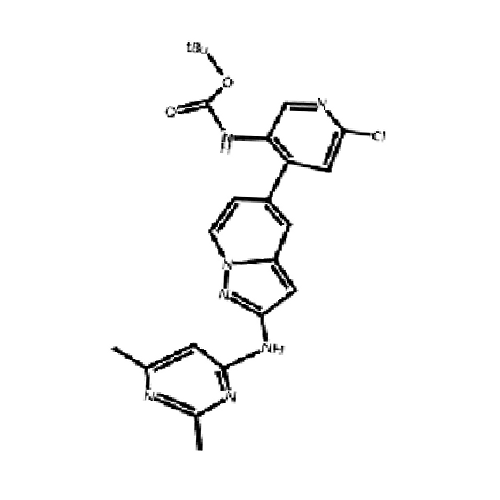 Cc1cc(Nc2cc3cc(-c4cc(Cl)ncc4NC(=O)OC(C)(C)C)ccn3n2)nc(C)n1